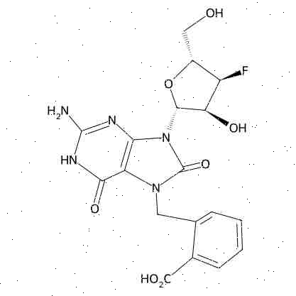 Nc1nc2c(c(=O)[nH]1)n(Cc1ccccc1C(=O)O)c(=O)n2[C@@H]1O[C@H](CO)[C@@H](F)[C@H]1O